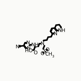 CS(=O)(=O)CCN(CCCCc1ccc2c(n1)NCCC2)CC[C@H](Nc1ncc(C#N)cn1)C(=O)O